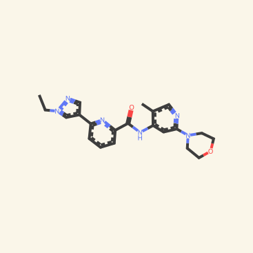 CCn1cc(-c2cccc(C(=O)Nc3cc(N4CCOCC4)ncc3C)n2)cn1